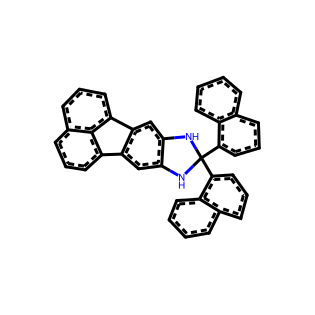 c1ccc2c(C3(c4cccc5ccccc45)Nc4cc5c(cc4N3)-c3cccc4cccc-5c34)cccc2c1